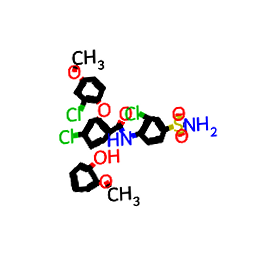 COc1ccc(Oc2cc(Cl)ccc2C(=O)Nc2ccc(S(N)(=O)=O)cc2Cl)c(Cl)c1.COc1ccccc1O